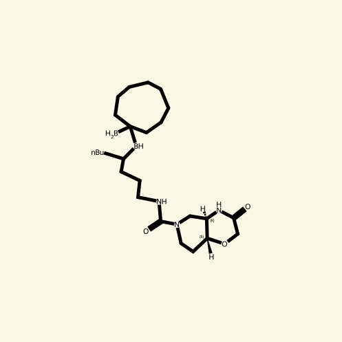 BC1(BC(CCCC)CCCNC(=O)N2CC[C@H]3OCC(=O)N[C@@H]3C2)CCCCCCCC1